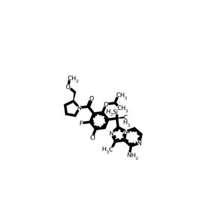 COC[C@@H]1CCCN1C(=O)c1c(F)c(Cl)cc([C@](C)([SiH3])c2nc(C)c3c(N)nccn23)c1OC(C)C